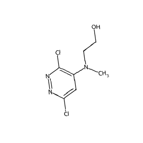 CN(CCO)c1cc(Cl)nnc1Cl